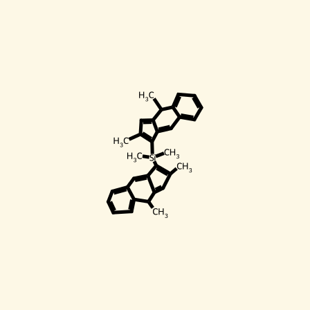 CC1=C([Si](C)(C)C2=C(C)C=C3C2=Cc2ccccc2C3C)C2=Cc3ccccc3C(C)C2=C1